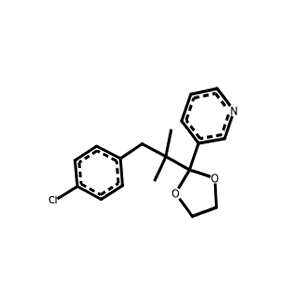 CC(C)(Cc1ccc(Cl)cc1)C1(c2cccnc2)OCCO1